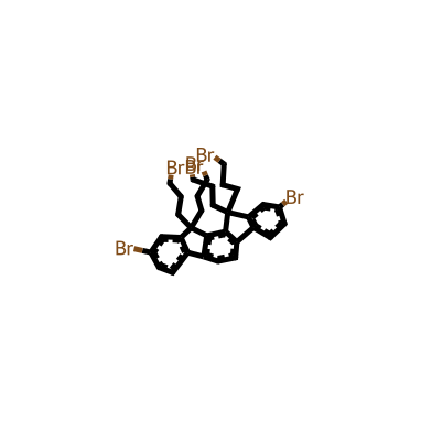 BrCCCC1(CCCBr)c2cc(Br)ccc2-c2ccc3c(c21)C(CCCBr)(CCCBr)c1cc(Br)ccc1-3